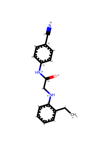 CCc1ccccc1NCC(=O)Nc1ccc(C#N)cc1